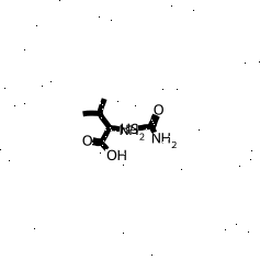 CC(C)C(N)C(=O)O.NC(=O)S